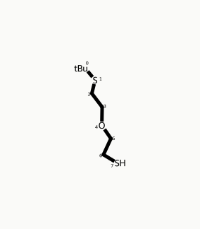 CC(C)(C)SCCOCCS